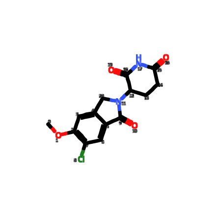 COc1cc2c(cc1Cl)C(=O)N(C1CCC(=O)NC1=O)C2